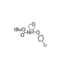 CC(C)(C)OC(=O)NC1CCOCC1COc1ccc(C2CC2)cc1